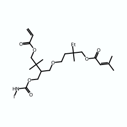 C=CC(=O)OCC(C)(C)C(COCCC(C)(CC)COC(=O)C=C(C)C)COC(=O)NI